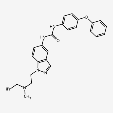 CC(C)CN(C)CCn1ncc2cc(NC(=O)Nc3ccc(Oc4ccccc4)cc3)ccc21